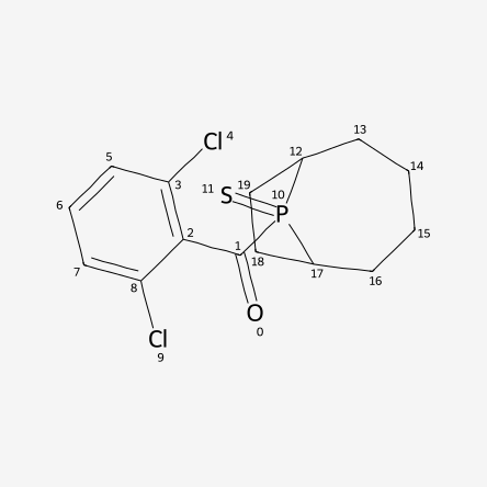 O=C(c1c(Cl)cccc1Cl)P1(=S)C2CCCCC1CC2